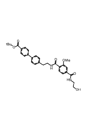 COc1cc(C(=O)NCCO)ccc1C(=O)NCCc1ccc(-c2ccc(C(=O)OC(C)(C)C)cc2)cc1